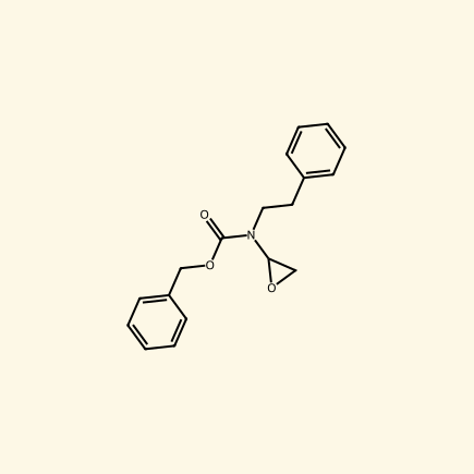 O=C(OCc1ccccc1)N(CCc1ccccc1)C1CO1